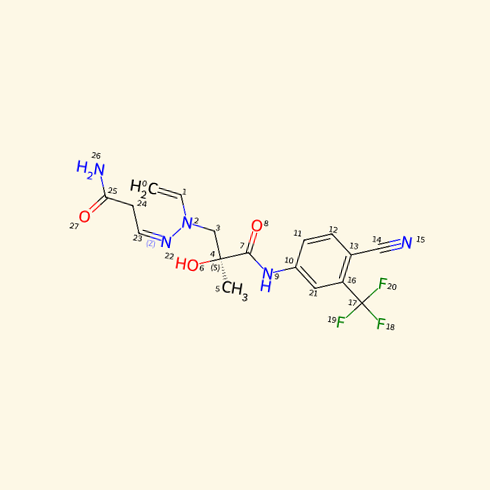 C=CN(C[C@](C)(O)C(=O)Nc1ccc(C#N)c(C(F)(F)F)c1)/N=C\CC(N)=O